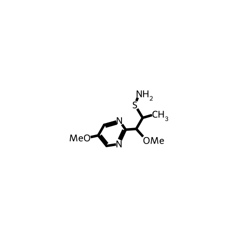 COc1cnc(C(OC)C(C)SN)nc1